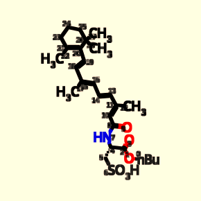 CCCCOC(=O)[C@H](CS(=O)(=O)O)NC(=O)C=C(C)C=CC=C(C)C=CC1=C(C)CCCC1(C)C